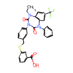 CCN1C(=O)N(c2cccc(CSc3cccc(C(=O)O)c3)c2)C(=O)N(c2ccccc2)c2cc(C(F)(F)F)ccc21